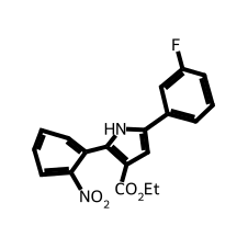 CCOC(=O)c1cc(-c2cccc(F)c2)[nH]c1-c1ccccc1[N+](=O)[O-]